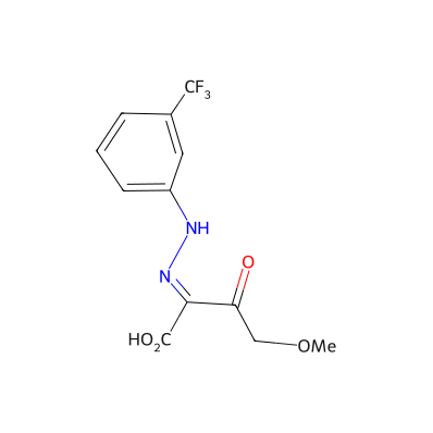 COCC(=O)C(=NNc1cccc(C(F)(F)F)c1)C(=O)O